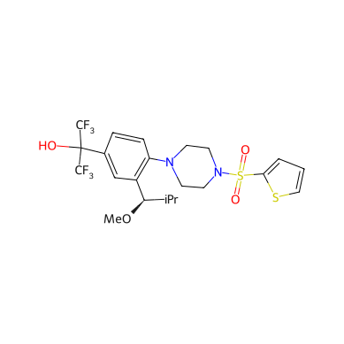 CO[C@@H](c1cc(C(O)(C(F)(F)F)C(F)(F)F)ccc1N1CCN(S(=O)(=O)c2cccs2)CC1)C(C)C